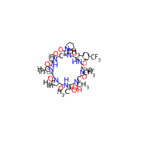 CC(C)CC1C(=O)N[C@@H]([C@@H](C)O)C(=O)N(C)CC(=O)N(C)[C@@H](CC(C)C)C(=O)N[C@@H](Cc2ccc(C(F)(F)F)cc2)C(=O)N(C)[C@H](C(=O)N2CCCCC2)CC(=O)N[C@H](CC(C)C)C(=O)N(C)[C@@H](CC(C)C)C(=O)N1C